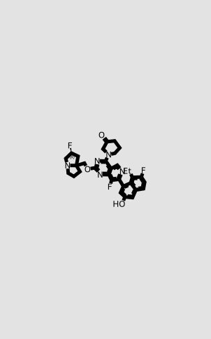 CCc1c(F)ccc2cc(O)cc(-c3ncc4c(N5CCCC(=O)C5)nc(OCC56CCCN5C[C@H](F)C6)nc4c3F)c12